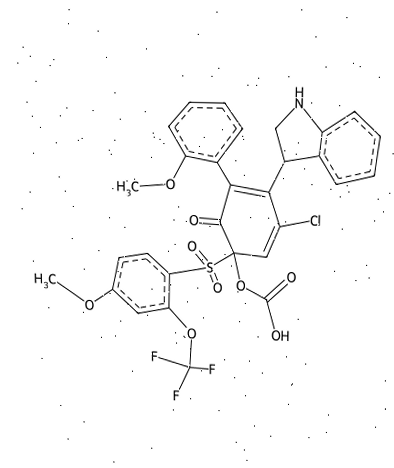 COc1ccc(S(=O)(=O)C2(OC(=O)O)C=C(Cl)C(C3CNc4ccccc43)=C(c3ccccc3OC)C2=O)c(OC(F)(F)F)c1